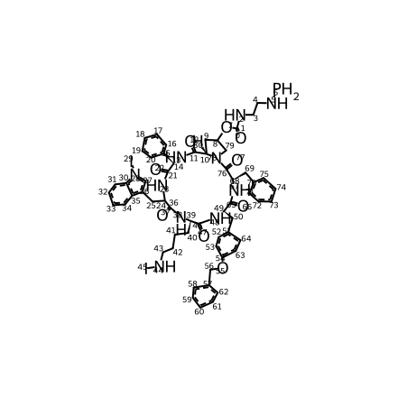 O=C(NCCNP)OC1C[C@H]2C(=O)N[C@H](c3ccccc3)C(=O)NC(Cc3cn(I)c4ccccc34)C(=O)N[C@H](CCCCNI)C(=O)N[C@H](Cc3ccc(OCc4ccccc4)cc3)C(=O)N[C@H](Cc3ccccc3)C(=O)N2C1